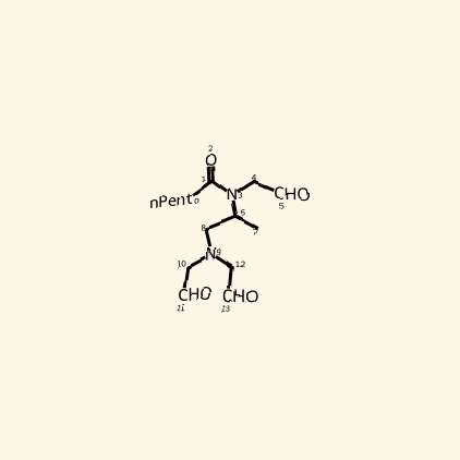 CCCCCC(=O)N(CC=O)C(C)CN(CC=O)CC=O